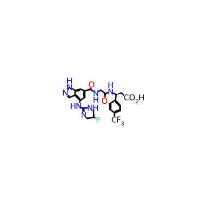 O=C(O)C[C@H](NC(=O)CNC(=O)c1cc(NC2=NCC(F)CN2)c2cn[nH]c2c1)c1ccc(C(F)(F)F)cc1